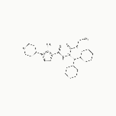 CCOC(=O)[C@@H](NC(=O)c1cnn(C2CCOCC2)c1C)C(C1CCCCC1)C1CCCCC1